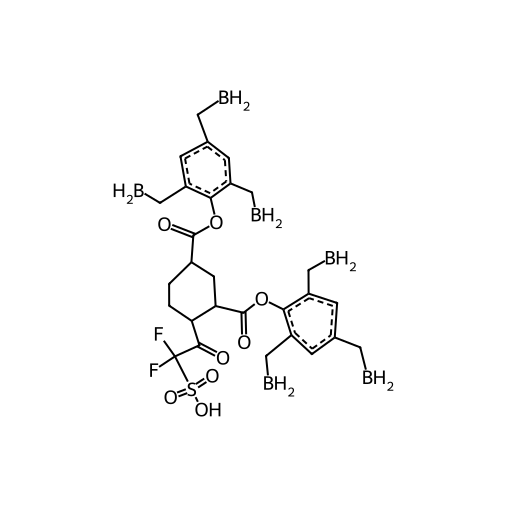 BCc1cc(CB)c(OC(=O)C2CCC(C(=O)C(F)(F)S(=O)(=O)O)C(C(=O)Oc3c(CB)cc(CB)cc3CB)C2)c(CB)c1